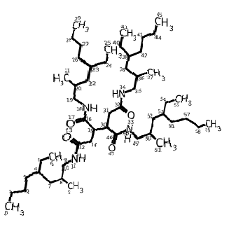 CCCCC(CC)CC(C)CNC(=O)CC(C(=O)NCC(C)CC(CC)CCCC)C(CC(=O)NCC(C)CC(CC)CCCC)C(=O)NCC(C)CC(CC)CCCC